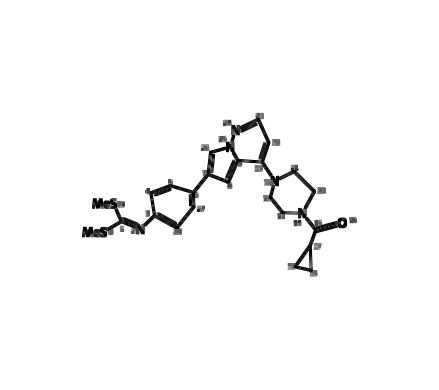 CSC(=Nc1ccc(-c2cc3c(N4CCN(C(=O)C5CC5)CC4)ccnn3c2)cc1)SC